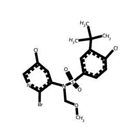 COCN(c1cc(Cl)cnc1Br)S(=O)(=O)c1ccc(Cl)c(C(C)(C)C)c1